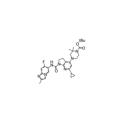 Cc1cn2cc(NC(=O)N3CCc4c(N5CCN(C(=O)OC(C)(C)C)C(C)(C)C5)cc(C5CC5)nc43)c(F)cc2n1